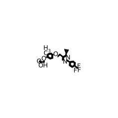 Cc1cc(OCCc2cnc(-c3ccc(C(F)(F)F)cc3)nc2C2CC2)ccc1OCC(=O)O